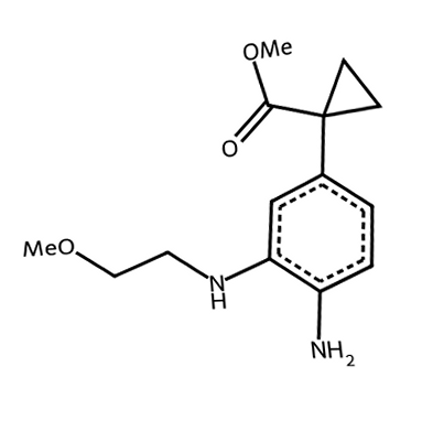 COCCNc1cc(C2(C(=O)OC)CC2)ccc1N